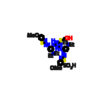 CCN(CC)c1ccc(/N=N/c2nc3ccc(OC)cc3s2)c(Nc2nc(Nc3cc(N(CC)CC)ccc3/N=N/c3nc4ccc(OC)c(S(=O)(=O)O)c4s3)nc(SCCO)n2)c1